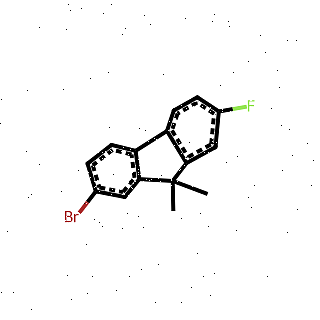 CC1(C)c2cc(F)ccc2-c2ccc(Br)cc21